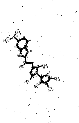 Cc1oc(-n2c(C)cc(C=C(C#N)c3nc4ccc(N(C)C)cc4[nH]3)c2C)c(C#N)c1C